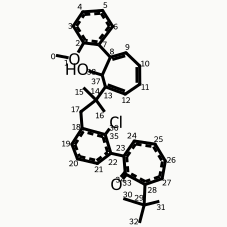 COc1ccccc1C1=CC=CC=C(C(C)(C)Cc2cccc(-c3ccccc(C(C)(C)C)c3=O)c2Cl)C1O